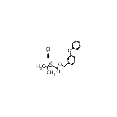 CC1(C)C(C(=O)OCc2cccc(Oc3ccccc3)c2)[C@H]1C#CCl